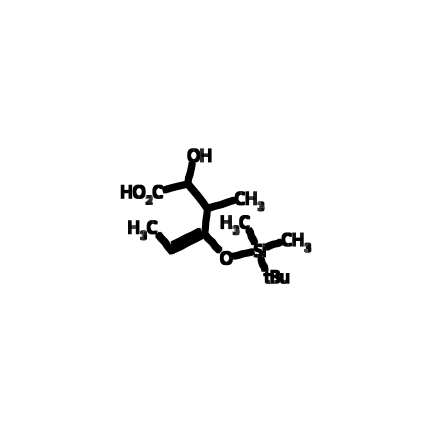 CC=C(O[Si](C)(C)C(C)(C)C)C(C)C(O)C(=O)O